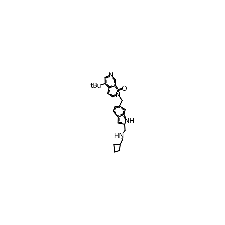 CC(C)(C)c1cncc2c(=O)n(Cc3ccc4cc(CNCC5CCC5)[nH]c4c3)ccc12